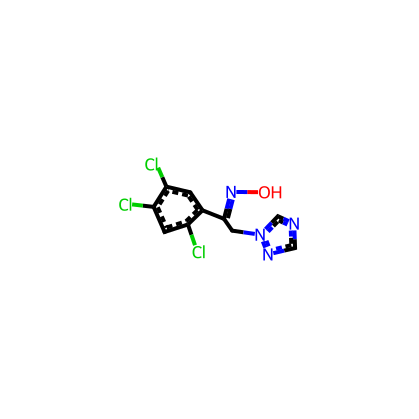 ON=C(Cn1cncn1)c1cc(Cl)c(Cl)cc1Cl